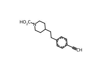 C#Cc1ccc(CCC2CCN(C(=O)O)CC2)cc1